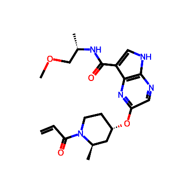 C=CC(=O)N1CC[C@H](Oc2cnc3[nH]cc(C(=O)N[C@@H](C)COC)c3n2)C[C@H]1C